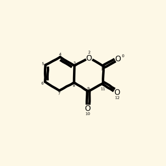 O=C1OC2=CC=CCC2C(=O)C1=O